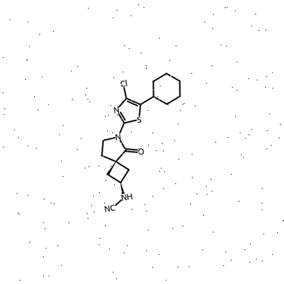 N#CN[C@H]1C[C@]2(CCN(c3nc(Cl)c(C4CCCCC4)s3)C2=O)C1